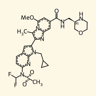 COc1cc(C(=O)NC[C@@H]2COCCN2)cc2nc(-c3cc4ccc(N(C(F)F)S(C)(=O)=O)nc4n3CC3CC3)c(C)n12